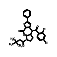 CC(C)(C)OC(=O)N1CCC(N(C(=O)c2ccc(Cl)cc2Cl)c2cc(-c3ccccc3)sc2C(=O)O)C1